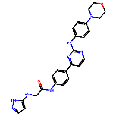 O=C(CNc1ccn[nH]1)Nc1ccc(-c2ccnc(Nc3ccc(N4CCOCC4)cc3)n2)cc1